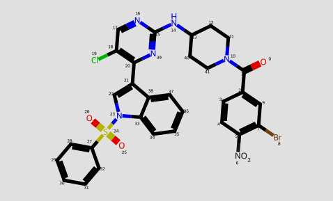 O=C(c1ccc([N+](=O)[O-])c(Br)c1)N1CCC(Nc2ncc(Cl)c(-c3cn(S(=O)(=O)c4ccccc4)c4ccccc34)n2)CC1